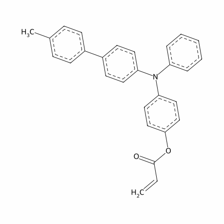 C=CC(=O)Oc1ccc(N(c2ccccc2)c2ccc(-c3ccc(C)cc3)cc2)cc1